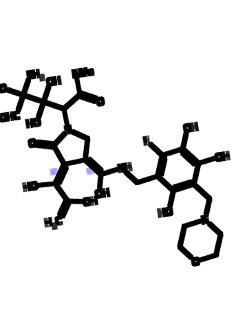 BC(O)(C=O)C(O)(O)C(C(=O)NC)N1CC(=C(/O)NCc2c(O)c(CN3CCOCC3)c(O)c(O)c2F)/C(=C(/O)C(=C)O)C1=O